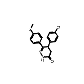 CSc1ccc(C2=NNC(=O)CC2c2ccc(Cl)cc2)cc1